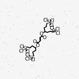 O=C(C=CC(=O)OC(CCC[Si](Cl)(Cl)Cl)CCC[Si](Cl)(Cl)Cl)OC(CCC[Si](Cl)(Cl)Cl)CCC[Si](Cl)(Cl)Cl